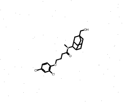 CN(C(=O)CCCOc1ccc(Cl)cc1Cl)C1C2CC3CC1CC(CO)(C3)C2